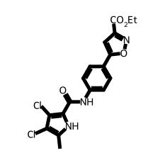 CCOC(=O)c1cc(-c2ccc(NC(=O)c3[nH]c(C)c(Cl)c3Cl)cc2)on1